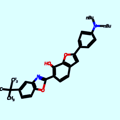 CCCCN(CCCC)c1ccc(-c2cc3ccc(-c4nc5cc(C(C)(C)C(F)(F)F)ccc5o4)c(O)c3o2)cc1